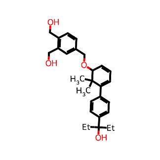 CCC(O)(CC)c1ccc(C2=CC=CC(OCc3ccc(CO)c(CO)c3)C2(C)C)cc1